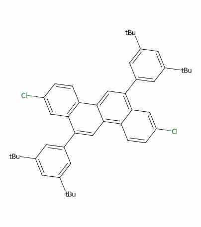 CC(C)(C)c1cc(-c2cc3c4ccc(Cl)cc4c(-c4cc(C(C)(C)C)cc(C(C)(C)C)c4)cc3c3ccc(Cl)cc23)cc(C(C)(C)C)c1